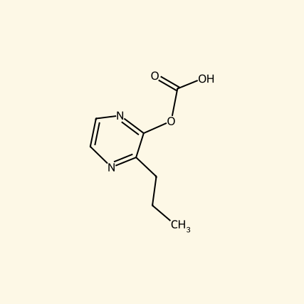 CCCc1nccnc1OC(=O)O